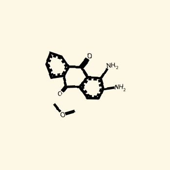 COC.Nc1ccc2c(c1N)C(=O)c1ccccc1C2=O